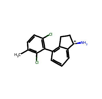 Cc1ccc(Cl)c(-c2cccc3c2CC[C@H]3N)c1Cl